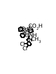 Cn1c(C(=O)NC2CCN(C(=O)O)C(C(C)(C)C)C2O[Si](c2ccccc2)(c2ccccc2)C(C)(C)C)cc2c(Cl)c(Cl)ccc21